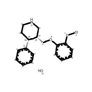 CCOc1ccccc1OC[C@H]1CNCC[C@H]1c1ccccc1.Cl